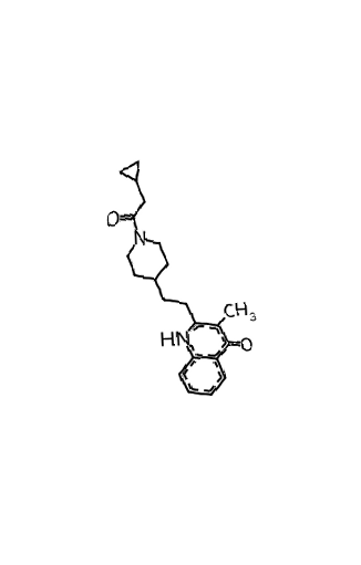 Cc1c(CCC2CCN(C(=O)CC3CC3)CC2)[nH]c2ccccc2c1=O